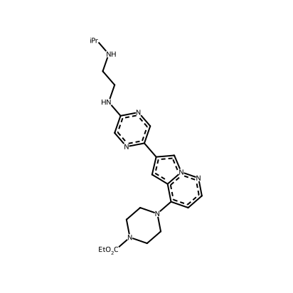 CCOC(=O)N1CCN(c2ccnn3cc(-c4cnc(NCCNC(C)C)cn4)cc23)CC1